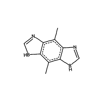 Cc1c2c(c(C)c3c1BC=N3)N=CB2